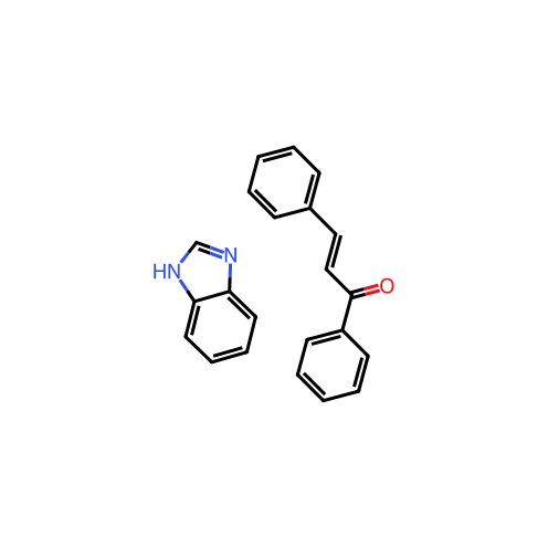 O=C(C=Cc1ccccc1)c1ccccc1.c1ccc2[nH]cnc2c1